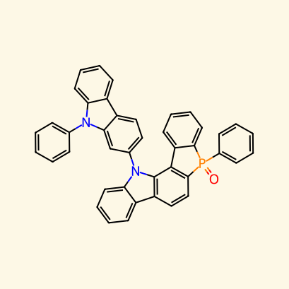 O=P1(c2ccccc2)c2ccccc2-c2c1ccc1c3ccccc3n(-c3ccc4c5ccccc5n(-c5ccccc5)c4c3)c21